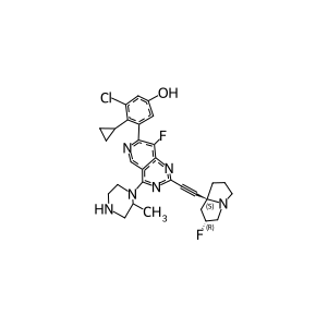 CC1CNCCN1c1nc(C#C[C@@]23CCCN2C[C@H](F)C3)nc2c(F)c(-c3cc(O)cc(Cl)c3C3CC3)ncc12